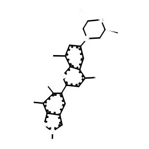 Cc1cc(N2C[C@H](C)N[C@@H](C)C2)cc2c(Cl)cc(-c3cc4cn(C)nc4c(F)c3O)nc12